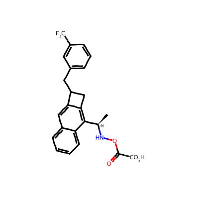 C[C@@H](NOC(=O)C(=O)O)c1c2c(cc3ccccc13)C(Cc1cccc(C(F)(F)F)c1)C2